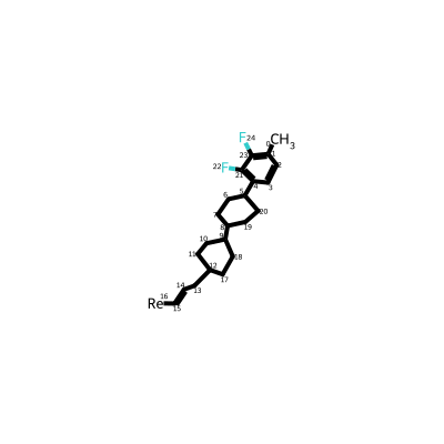 Cc1ccc(C2CCC(C3CCC(C/C=[CH]/[Re])CC3)CC2)c(F)c1F